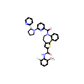 Cc1cccc(F)c1NC(=O)c1cc2c(s1)-c1ccccc1N(C(=O)c1cccc(N3CCC[C@@H]3c3ccccn3)n1)CC2